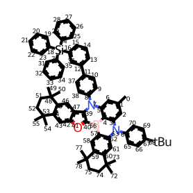 Cc1cc2c3c(c1)N(c1ccc(-c4cccc([Si](c5ccccc5)(c5ccccc5)c5ccccc5)c4)cc1)c1c(oc4cc5c(cc14)C(C)(C)CCC5(C)C)B3c1cc3c(cc1N2c1ccc(C(C)(C)C)cc1)C(C)(C)CCC3(C)C